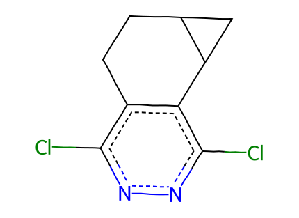 Clc1nnc(Cl)c2c1CCC1CC21